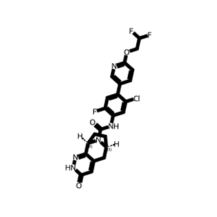 O=C(Nc1cc(Cl)c(-c2ccc(OCC(F)F)nc2)cc1F)N1[C@H]2CC[C@@H]1c1n[nH]c(=O)cc1C2